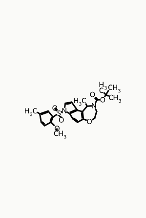 COc1ccc(C)cc1S(=O)(=O)n1ccc2c3c(ccc21)OCCN(C(=O)OC(C)(C)C)C3C